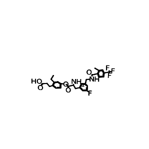 CCc1cc(OC(=O)[C@@H](N)Cc2cc(F)cc(CNC(=O)c3ccc(C(F)(F)F)cc3C)c2)ccc1CCC(=O)O